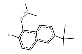 [Li][c]1ccc2cc(C(C)(C)C)ccc2c1O[SiH](C)C